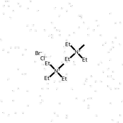 CC[N+](C)(CC)CC.CC[N+](C)(CC)CC.[Br-].[Cl-]